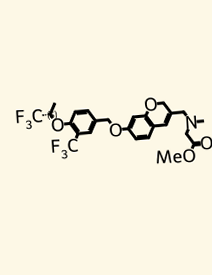 COC(=O)CN(C)CC1=Cc2ccc(OCc3ccc(O[C@@H](C)C(F)(F)F)c(C(F)(F)F)c3)cc2OC1